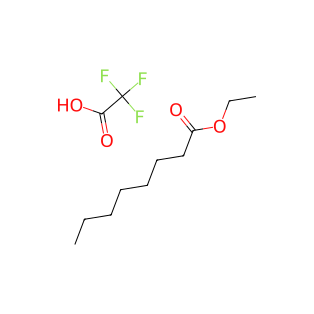 CCCCCCCC(=O)OCC.O=C(O)C(F)(F)F